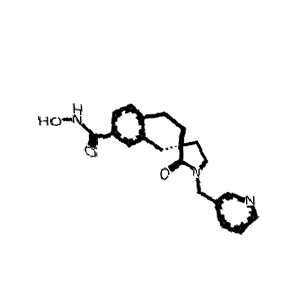 O=C(NO)c1ccc2c(c1)C[C@]1(CC2)CCN(Cc2cccnc2)C1=O